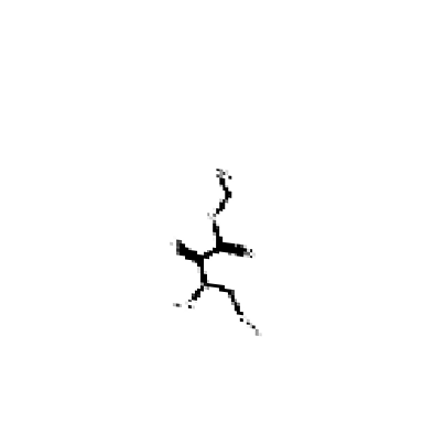 CCOC(=O)C(=O)C(C)CC